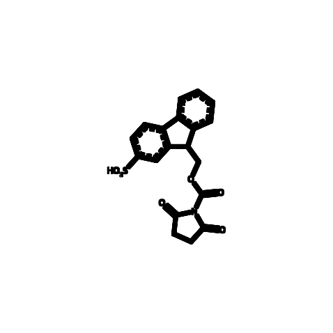 O=C1CCC(=O)N1C(=O)OCC1c2ccccc2-c2ccc(S(=O)(=O)O)cc21